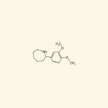 COc1ccc(C2CCCCCN2)cc1OC